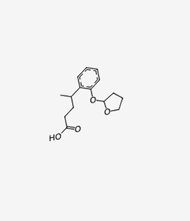 CC(CCC(=O)O)c1ccccc1OC1CCCO1